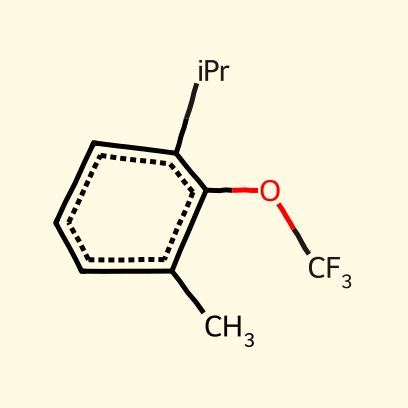 Cc1cccc(C(C)C)c1OC(F)(F)F